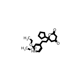 CCO[C@@]1(CC)C=C(CCC2(C3CCCC3)CC(=O)CC(=O)O2)C=CN1